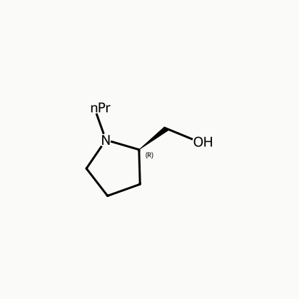 CCCN1CCC[C@@H]1CO